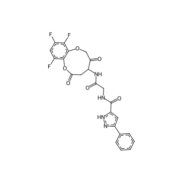 O=C(CNC(=O)c1cc(-c2ccccc2)n[nH]1)NC1CC(=O)Oc2c(F)cc(F)c(F)c2OCC1=O